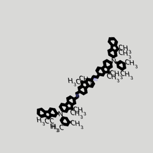 Cc1cc(C)cc(N(c2ccc3c(c2)C(C)(C)c2ccccc2-3)c2ccc3c(c2)C(C)(C)c2cc(/C=C/c4ccc5c(c4)C(C)(C)c4cc(/C=C/c6ccc7c(c6)C(C)(C)c6cc(N(c8cc(C)cc(C)c8)c8ccc9c(c8)C(C)(C)c8ccccc8-9)ccc6-7)ccc4-5)ccc2-3)c1